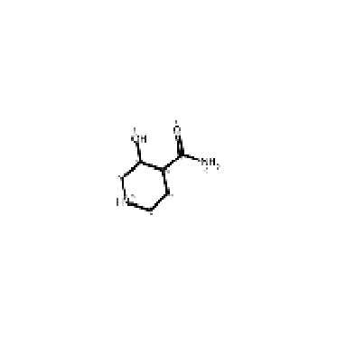 NC(=O)C1CCNCC1O